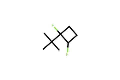 CC(C)(C)C1(F)CCC1F